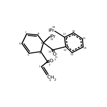 C=CC(=O)C1C=CC=CC1(C(=O)c1ccccc1C(C)C)C(C)C